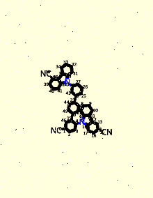 N#Cc1ccc(-n2c3ccccc3c3cc(C#N)ccc32)c(-c2ccc(-c3cccc(-n4c5ccccc5c5c(C#N)cccc54)c3)cc2)c1